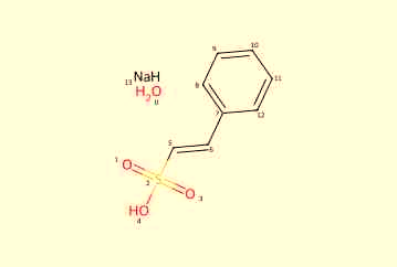 O.O=S(=O)(O)C=Cc1ccccc1.[NaH]